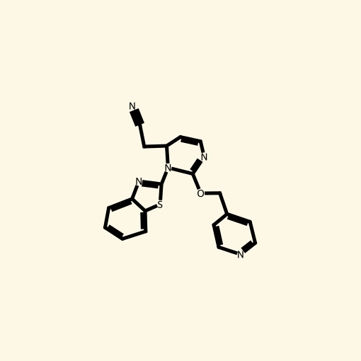 N#CCC1C=CN=C(OCc2ccncc2)N1c1nc2ccccc2s1